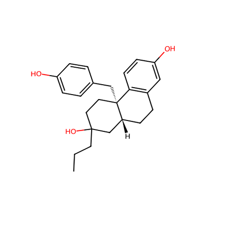 CCCC1(O)CC[C@@]2(Cc3ccc(O)cc3)c3ccc(O)cc3CC[C@@H]2C1